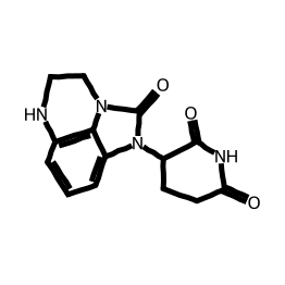 O=C1CCC(n2c(=O)n3c4c(cccc42)NCC3)C(=O)N1